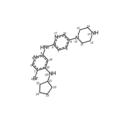 Brc1cnc(Nc2ccc(N3CCNCC3)cn2)cc1NC1CCCC1